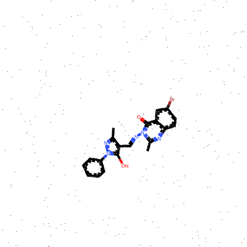 Cc1nn(-c2ccccc2)c(O)c1/C=N/n1c(C)nc2ccc(Br)cc2c1=O